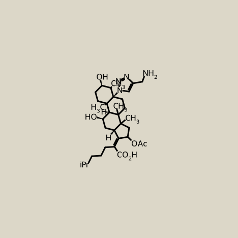 CC(=O)OC1CC2(C)[C@@H](C[C@@H](O)[C@@H]3C2(C)CC[C@@]2(n4cc(CN)nn4)C(C)[C@H](O)CCC32C)/C1=C(\CCCC(C)C)C(=O)O